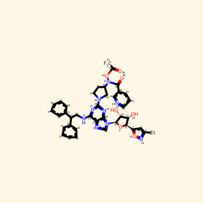 CCc1cc([C@H]2O[C@@H](n3cnc4c(NCC(c5ccccc5)c5ccccc5)nc(N5CCC(N(OC(=O)C(F)(F)F)C(=O)c6cccnc6)C5)nc43)[C@H](O)[C@@H]2O)on1